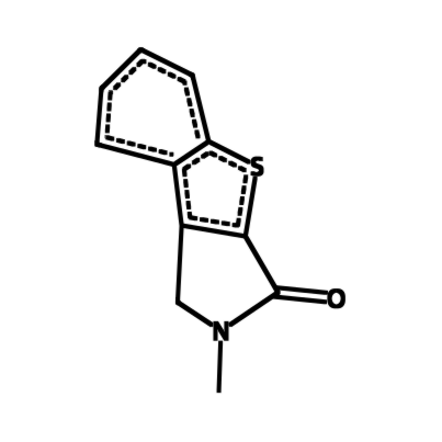 CN1Cc2c(sc3ccccc23)C1=O